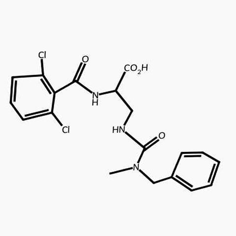 CN(Cc1ccccc1)C(=O)NCC(NC(=O)c1c(Cl)cccc1Cl)C(=O)O